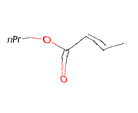 [CH2]C=CC(=O)OCCC